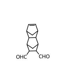 O=CC1C(C=O)C2CC1C1C3C=CC(C3)C21